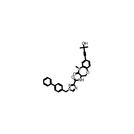 CN1C(=O)C(NC(=O)c2ncn(Cc3ccc(-c4ccccc4)cc3)n2)COc2ccc(C#CC(C)(C)O)cc21